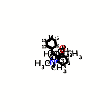 CC12CCC([N+](C)(C)C)(C(=Cc3ccccc3)C1=O)C2(C)C